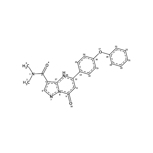 CN(C)C(=O)c1cnn2c(=O)cc(-c3ccc(Oc4ccccc4)cc3)[nH]c12